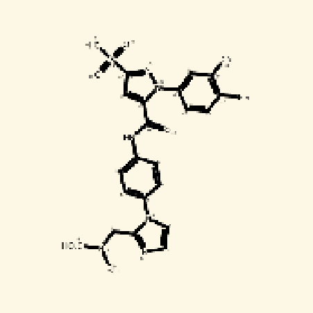 CN(Cc1nccn1-c1ccc(NC(=O)c2cc(S(C)(=O)=O)nn2-c2ccc(F)c(C#N)c2)cc1)C(=O)O